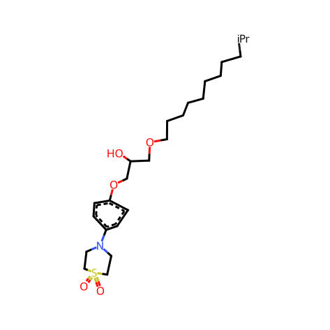 CC(C)CCCCCCCCCOCC(O)COc1ccc(N2CCS(=O)(=O)CC2)cc1